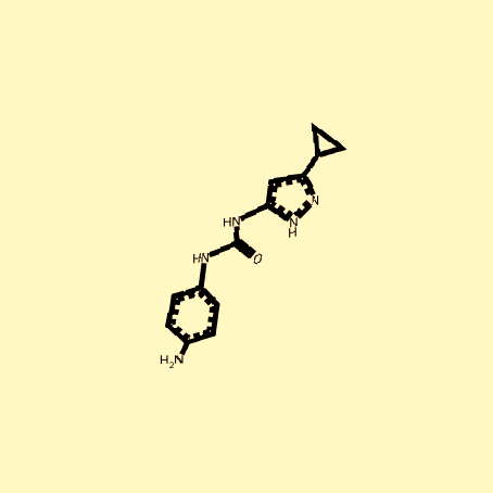 Nc1ccc(NC(=O)Nc2cc(C3CC3)n[nH]2)cc1